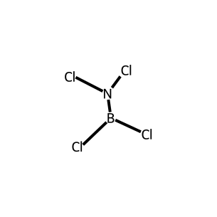 ClB(Cl)N(Cl)Cl